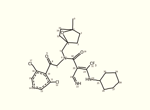 CC12CCC(CN(CC(=O)c3c(Cl)cncc3Cl)C(=O)/C(C=N)=C(/NC3CCCCC3)C(F)(F)F)(CC1)O2